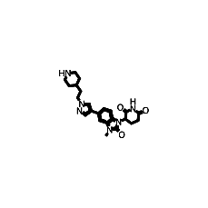 Cn1c(=O)n(C2CCC(=O)NC2=O)c2ccc(-c3cnn(CCC4CCNCC4)c3)cc21